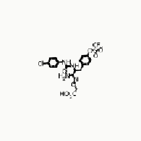 NC(=NOCC(=O)O)C(Cc1ccc(OS(=O)(=O)C(F)(F)F)cc1)NC(=O)Nc1ccc(Cl)cc1